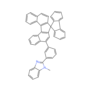 Cn1c(-c2cccc(-c3cc4c(c5ccccc35)-c3c(ccc5ccccc35)C43c4ccccc4-c4ccccc43)c2)nc2ccccc21